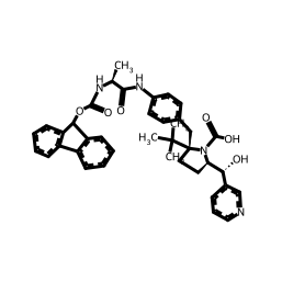 C[C@H](NC(=O)OC1c2ccccc2-c2ccccc21)C(=O)Nc1ccc(C[C@]2(C(C)(C)C)CC[C@H]([C@H](O)c3cccnc3)N2C(=O)O)cc1